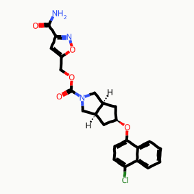 NC(=O)c1cc(COC(=O)N2C[C@H]3C[C@@H](Oc4ccc(Cl)c5ccccc45)C[C@H]3C2)on1